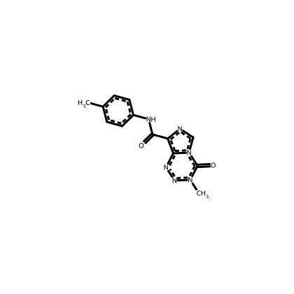 Cc1ccc(NC(=O)c2ncn3c(=O)n(C)nnc23)cc1